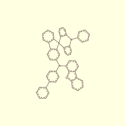 c1ccc(-c2ccc(N(c3ccc4c(c3)C3(c5ccccc5-4)c4ccccc4N(c4ccccc4)c4ccccc43)c3cccc4c3oc3ccccc34)cc2)cc1